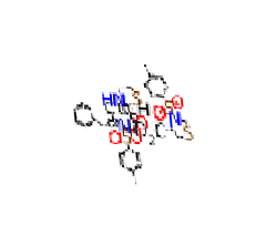 Cc1ccc(S(=O)(=O)N(C(=O)[C@H]2NCCS2)[C@@H](Cc2ccccc2)C(=O)O)cc1.Cc1ccc(S(=O)(=O)N2CSCC2C(=O)O)cc1